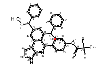 COC(c1ccccc1)c1cc(C(OC)c2ccccc2)c2c(-c3ccc(OC(=O)C(F)(F)F)cc3)nc3[nH]ncc3c2c1